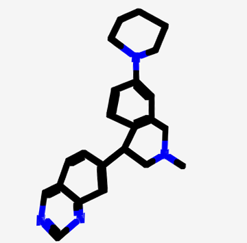 CN1Cc2cc(N3CCCCC3)ccc2C(c2ccc3cncnc3c2)C1